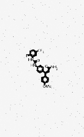 COc1ccc(/C(=C/C(N)=O)c2ccc(NC(=O)Nc3cc(C(F)(F)F)ccc3F)cc2)cc1